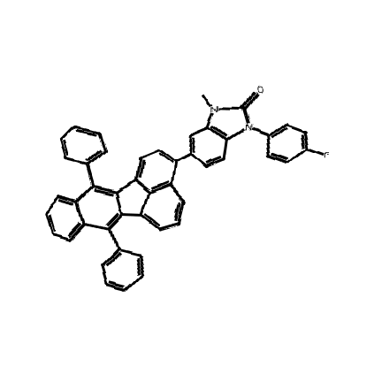 Cn1c(=O)n(-c2ccc(F)cc2)c2ccc(-c3ccc4c5c(cccc35)-c3c-4c(-c4ccccc4)c4ccccc4c3-c3ccccc3)cc21